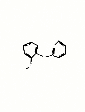 COc1ccccc1Oc1ccc[c]n1